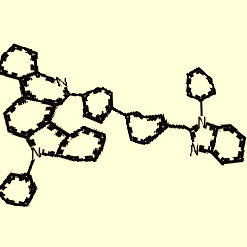 c1ccc(-n2c(-c3ccc(-c4ccc(-c5nc6ccccc6c6ccc7c(c8ccccc8n7-c7ccccc7)c56)cc4)cc3)nc3ccccc32)cc1